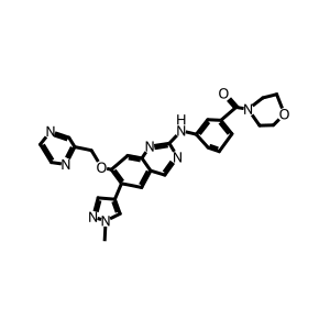 Cn1cc(-c2cc3cnc(Nc4cccc(C(=O)N5CCOCC5)c4)nc3cc2OCc2cnccn2)cn1